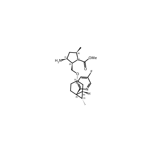 COC(=O)N1[C@H](C)C[C@H](N)[C@@H]1CO[C@H]1CC[C@]2(c3ncc(F)cn3)[C@H](C1)[C@@H]2C